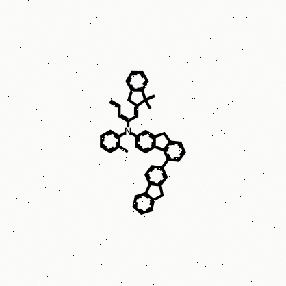 C=C/C=C(\C=C1/Cc2ccccc2C1(C)C)N(c1ccc2c(c1)Cc1cccc(-c3ccc4c(c3)Cc3ccccc3-4)c1-2)c1ccccc1C